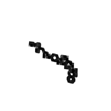 COC(=O)CCCNC1CCC(CNc2nc(NCc3ccccc3O)ncc2N=O)CC1